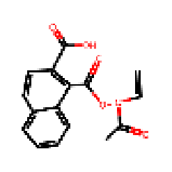 C=COC(C)=O.O=C(O)c1ccc2ccccc2c1C(=O)O